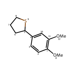 COc1ccc(C2CCCS2)cc1OC